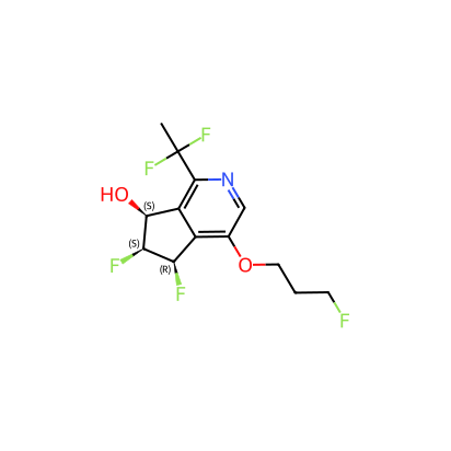 CC(F)(F)c1ncc(OCCCF)c2c1[C@H](O)[C@H](F)[C@@H]2F